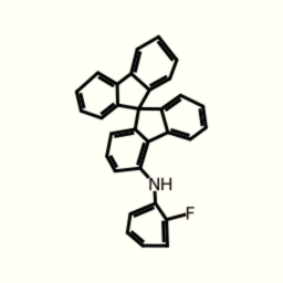 Fc1ccccc1Nc1cccc2c1-c1ccccc1C21c2ccccc2-c2ccccc21